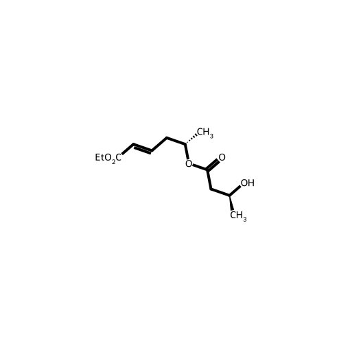 CCOC(=O)/C=C/C[C@H](C)OC(=O)C[C@H](C)O